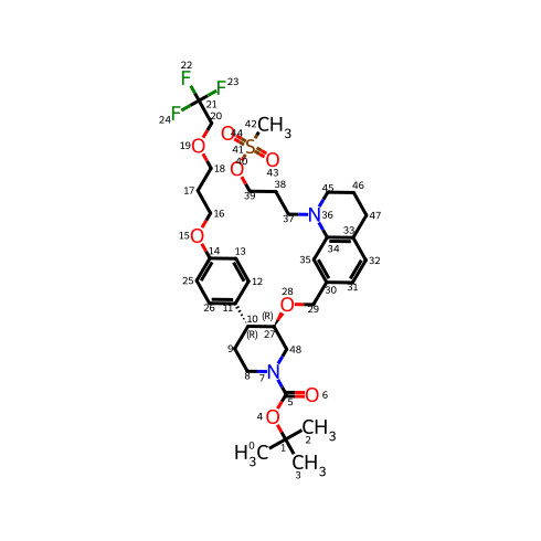 CC(C)(C)OC(=O)N1CC[C@H](c2ccc(OCCCOCC(F)(F)F)cc2)[C@@H](OCc2ccc3c(c2)N(CCCOS(C)(=O)=O)CCC3)C1